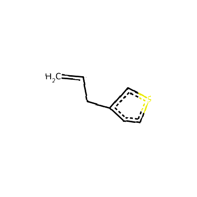 C=[C]Cc1ccsc1